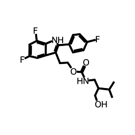 CC(C)C(CO)CNC(=O)OCCc1c(-c2ccc(F)cc2)[nH]c2c(F)cc(F)cc12